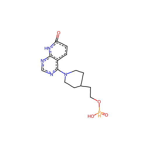 O=c1ccc2c(N3CCC(CCO[PH](=O)O)CC3)ncnc2[nH]1